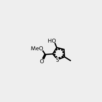 COC(=O)c1sc(C)cc1O